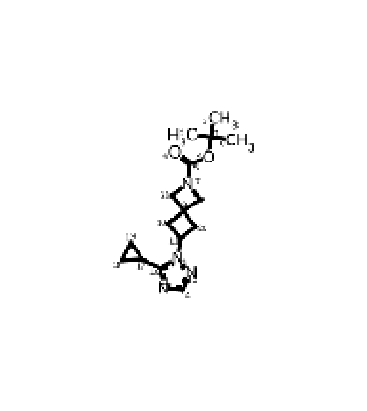 CC(C)(C)OC(=O)N1CC2(CC(n3ncnc3C3CC3)C2)C1